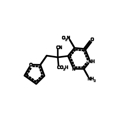 N#CC(Cc1ccco1)(C(=O)O)c1nc(N)[nH]c(=O)c1[N+](=O)[O-]